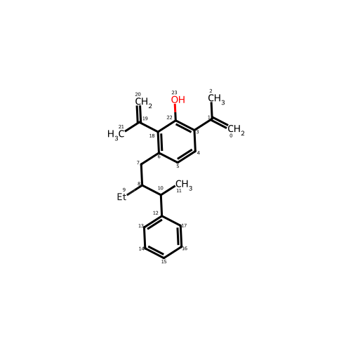 C=C(C)c1ccc(CC(CC)C(C)c2ccccc2)c(C(=C)C)c1O